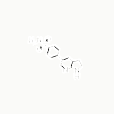 NS(=O)(=O)c1ccc(-c2cnc3c(c2)CCN3)cc1